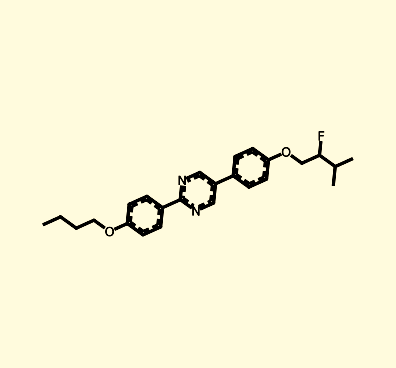 CCCCOc1ccc(-c2ncc(-c3ccc(OCC(F)C(C)C)cc3)cn2)cc1